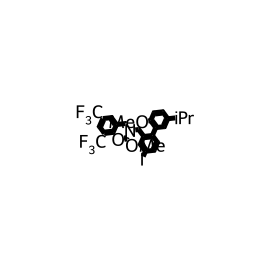 COC(=O)N(Cc1cc(C(F)(F)F)cc(C(F)(F)F)c1)Cc1cc(I)ccc1-c1cc(C(C)C)ccc1OC